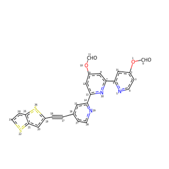 O=COc1ccnc(-c2cc(OC=O)cc(-c3cc(C#Cc4cc5sccc5s4)ccn3)n2)c1